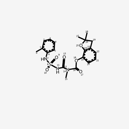 Cc1ccccc1NS(=O)(=O)NC(=O)N(C)C(=O)Oc1cccc2c1OC(C)(C)C2